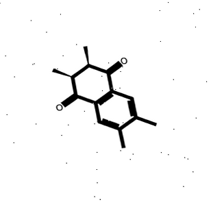 Cc1cc2c(cc1C)C(=O)[C@H](C)[C@H](C)C2=O